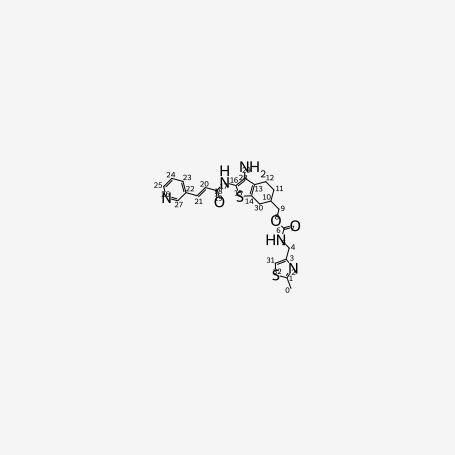 Cc1nc(CNC(=O)OCC2CCc3c(sc(NC(=O)/C=C/c4cccnc4)c3N)C2)cs1